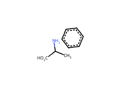 CC(N)C(=O)O.c1ccccc1